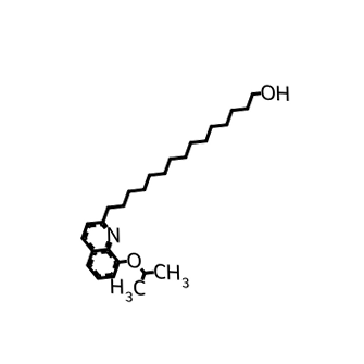 CC(C)Oc1cccc2ccc(CCCCCCCCCCCCCCCO)nc12